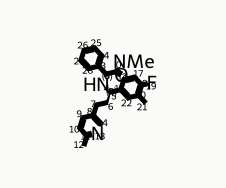 CNC(=O)[C@@H](N[C@H](CCc1ccc(C)nc1)c1ccc(F)c(C)c1)c1ccccc1